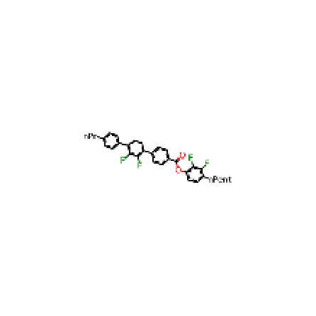 CCCCCc1ccc(OC(=O)c2ccc(-c3ccc(-c4ccc(CCC)cc4)c(F)c3F)cc2)c(F)c1F